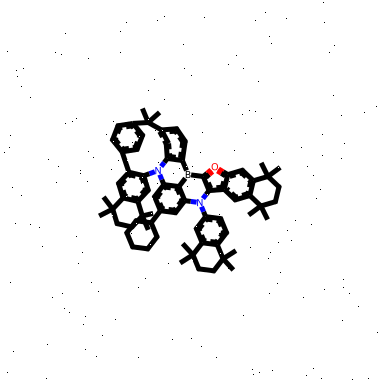 CC1(C)CCC(C)(C)c2cc(N3c4cc(C5CCCCC5)cc5c4B(c4ccc6cc4N5c4cc5c(cc4-c4ccc(cc4)C6(C)C)C(C)(C)CCC5(C)C)c4oc5cc6c(cc5c43)C(C)(C)CCC6(C)C)ccc21